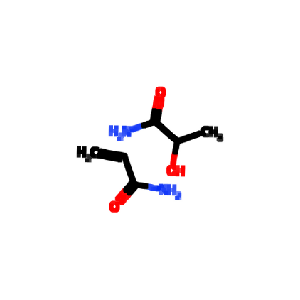 C=CC(N)=O.CC(O)C(N)=O